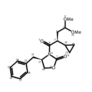 COC(C[C@H](C(=O)N1C(=O)OC[C@H]1Cc1ccccc1)C1CC1)OC